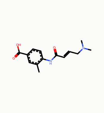 Cc1cc(C(=O)O)ccc1NC(=O)C=CCN(C)C